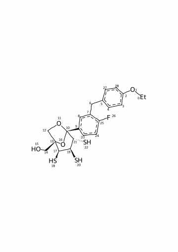 CCOc1ccc(Cc2cc([C@]34OC[C@](CO)(O3)[C@H](S)[C@H](S)[C@H]4S)ccc2F)cc1